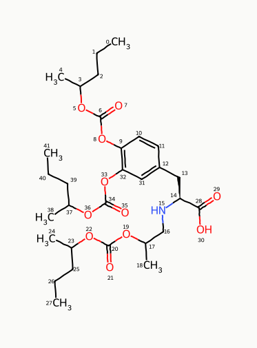 CCCC(C)OC(=O)Oc1ccc(C[C@H](NCC(C)OC(=O)OC(C)CCC)C(=O)O)cc1OC(=O)OC(C)CCC